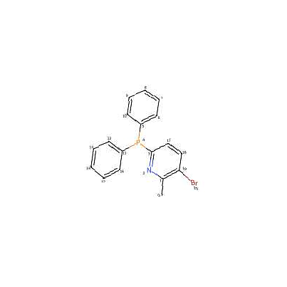 Cc1nc(P(c2ccccc2)c2ccccc2)ccc1Br